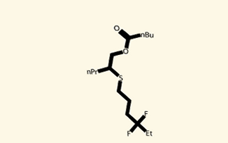 CCCCC(=O)OCC(CCC)SCCCC(F)(F)CC